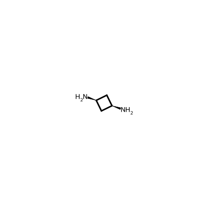 N[C@H]1C[C@@H](N)C1